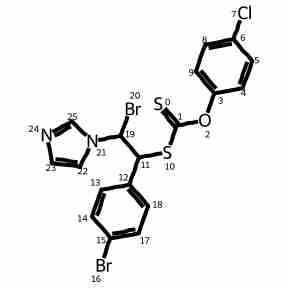 S=C(Oc1ccc(Cl)cc1)SC(c1ccc(Br)cc1)C(Br)n1ccnc1